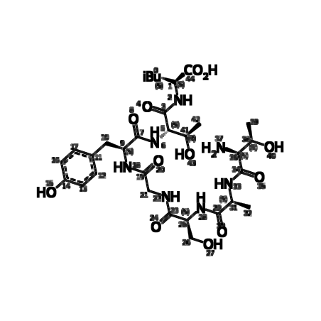 CC[C@H](C)[C@H](NC(=O)[C@@H](NC(=O)[C@H](Cc1ccc(O)cc1)NC(=O)CNC(=O)[C@H](CO)NC(=O)[C@H](C)NC(=O)[C@@H](N)[C@@H](C)O)[C@@H](C)O)C(=O)O